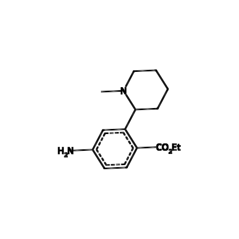 CCOC(=O)c1ccc(N)cc1C1CCCCN1C